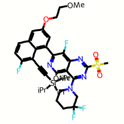 COCCOc1cc(-c2nc(OC)c3c(N4CCCC(F)(F)C4)nc(S(C)(=O)=O)nc3c2F)c2c(C#C[Si](C(C)C)(C(C)C)C(C)C)c(F)ccc2c1